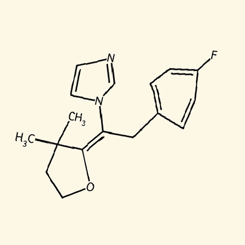 CC1(C)CCOC1=C(Cc1ccc(F)cc1)n1ccnc1